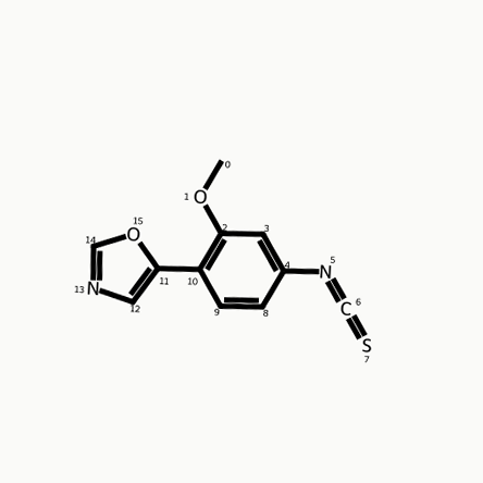 COc1cc(N=C=S)ccc1-c1cnco1